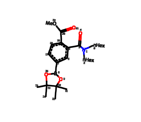 CCCCCCN(CCCCCC)C(=O)c1cc(B2OC(C)(C)C(C)(C)O2)ccc1C(=O)OC